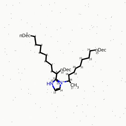 CCCCCCCCCCCCCCCCCCC(CCCCCCCCCC)c1[nH]cc[n+]1C(C)CCCCCCCCCCCCCCCCC